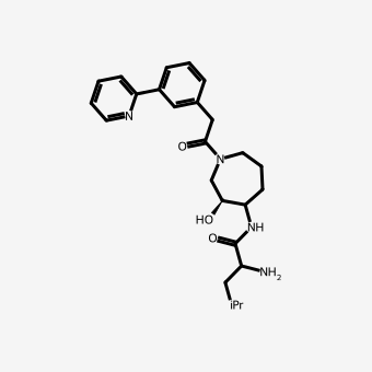 CC(C)CC(N)C(=O)NC1CCCN(C(=O)Cc2cccc(-c3ccccn3)c2)C[C@@H]1O